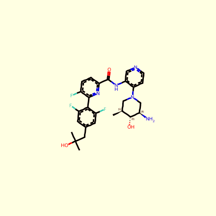 C[C@H]1CN(c2ccncc2NC(=O)c2ccc(F)c(-c3c(F)cc(CC(C)(C)O)cc3F)n2)C[C@@H](N)[C@@H]1O